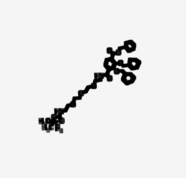 CC(C)(C)OC(=O)NCCOCCOCCOCCNC(=O)c1ccc(C(=O)OCc2ccccc2)c(OCc2ccccc2)c1OCc1ccccc1